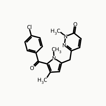 Cc1cc(Cc2ccc(=O)n(C)n2)n(C)c1C(=O)c1ccc(Cl)cc1